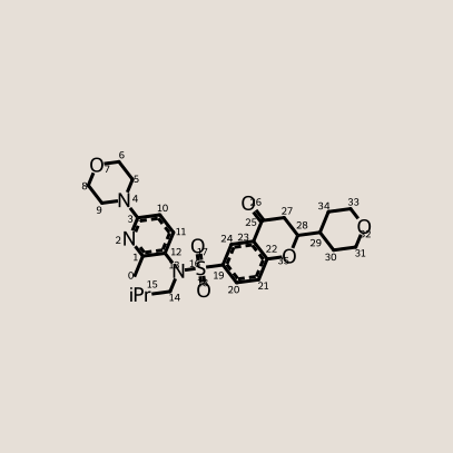 Cc1nc(N2CCOCC2)ccc1N(CC(C)C)S(=O)(=O)c1ccc2c(c1)C(=O)CC(C1CCOCC1)O2